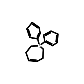 C1=CCCS(c2ccccc2)(c2ccccc2)CC1